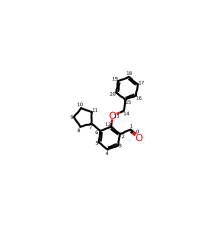 O=Cc1cccc(C2CCCC2)c1OCc1ccccc1